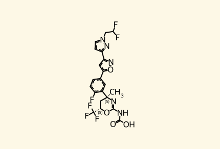 C[C@@]1(c2cc(-c3cc(-c4ccn(CC(F)F)n4)no3)ccc2F)C[C@@H](C(F)(F)F)OC(NC(=O)O)=N1